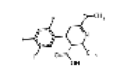 COC1=NC(C)[C@H](C(=O)O)[C@@H](c2cc(F)c(F)cc2F)C1